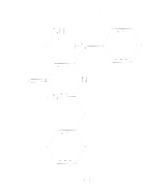 N=Cc1c(Nc2ccccc2F)nc(Cc2cccc(Cl)c2)[nH]c1=O